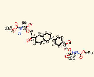 CC(C)(C)OC(=O)N[C@H](C(=O)OCC(=O)c1ccc(-c2ccc3cc(C(=O)COC(=O)[C@@H](NC(=O)OC(C)(C)C)C(C)(C)C)ccc3c2)cc1)C(C)(C)C